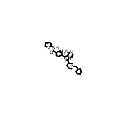 Nc1nccn2c(C3CCCN(Cc4ccccc4)C3)nc(-c3ccc(C(=O)Nc4ccccn4)cc3)c12